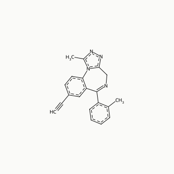 C#Cc1ccc2c(c1)C(c1ccccc1C)=NCc1nnc(C)n1-2